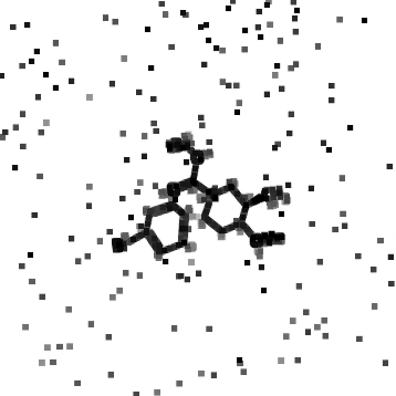 COC1C[C@H](c2ccc(Br)cc2)N(C(=O)OC(C)(C)C)C[C@H]1C